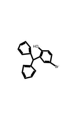 Oc1ccc(Br)cc1C(c1ccccc1)c1ccccc1